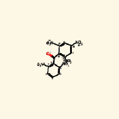 O=C(c1c([N+](=O)[O-])cccc1[N+](=O)[O-])c1c([N+](=O)[O-])cc([N+](=O)[O-])cc1[N+](=O)[O-]